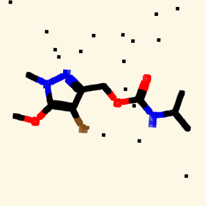 COc1c(Br)c(COC(=O)NC(C)C)nn1C